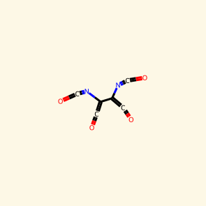 O=C=NC(=C=O)C(=C=O)N=C=O